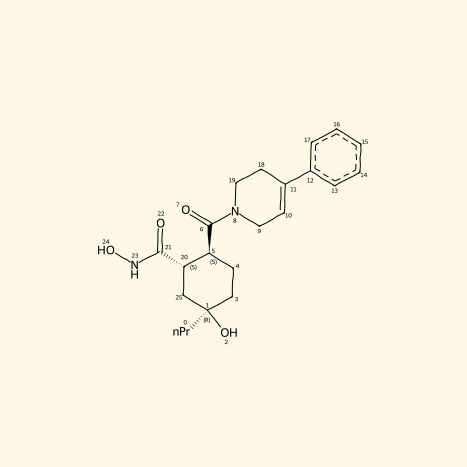 CCC[C@@]1(O)CC[C@H](C(=O)N2CC=C(c3ccccc3)CC2)[C@@H](C(=O)NO)C1